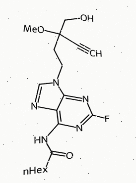 C#CC(CO)(CCn1cnc2c(NC(=O)CCCCCC)nc(F)nc21)OC